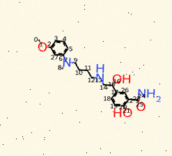 COc1cccc(N(C)CCCCNCC(O)c2ccc(O)c(C(N)=O)c2)c1